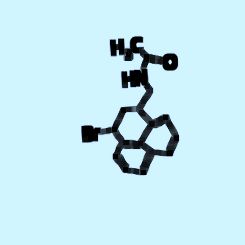 CC(=O)NCC1CC(Br)c2cccc3cccc1c23